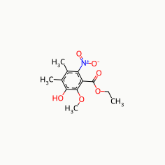 CCOC(=O)c1c(OC)c(O)c(C)c(C)c1[N+](=O)[O-]